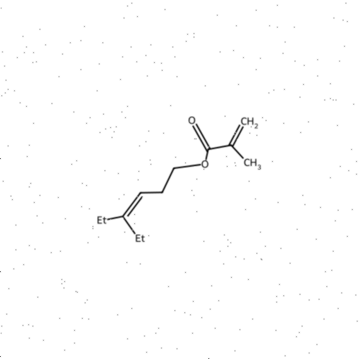 C=C(C)C(=O)OCCC=C(CC)CC